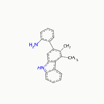 Cc1c(-c2ccccc2N)cc2[nH]c3ccccc3c2c1C